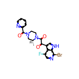 C[C@@H]1CN(C(=O)c2ccccn2)CCN1C(=O)C(=O)c1c[nH]c2c(Br)ncc(F)c12